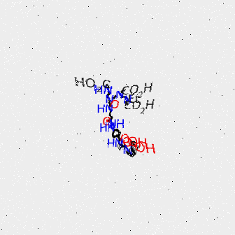 CCN(CCN(CCN(CCNCC(=O)O)CC(=O)NCCCC(=O)NNc1ccc(C(=O)N[C@H](C)C(=O)N2CCC[C@H]2B(O)O)cc1)CC(=O)O)CC(=O)O